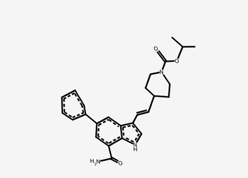 CC(C)OC(=O)N1CCC(C=Cc2c[nH]c3c(C(N)=O)cc(-c4ccccc4)cc23)CC1